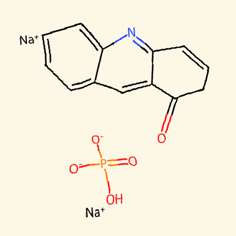 O=C1CC=Cc2nc3ccccc3cc21.O=P([O-])([O-])O.[Na+].[Na+]